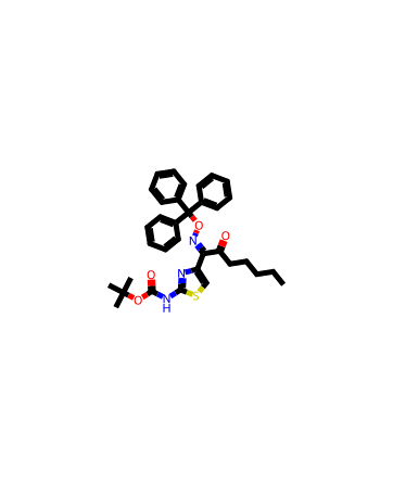 CCCCCC(=O)C(=NOC(c1ccccc1)(c1ccccc1)c1ccccc1)c1csc(NC(=O)OC(C)(C)C)n1